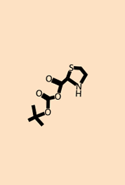 CC(C)(C)OC(=O)OC(=O)C1NCCS1